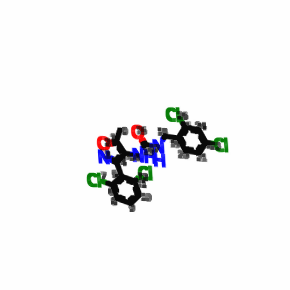 Cc1onc(-c2c(Cl)cccc2Cl)c1NC(=O)NCc1ccc(Cl)cc1Cl